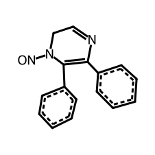 O=NN1CC=NC(c2ccccc2)=C1c1ccccc1